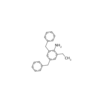 CCc1cc(Cc2ccccc2)cc(Cc2ccccc2)c1N